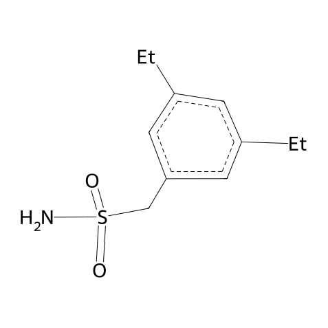 CCc1cc(CC)cc(CS(N)(=O)=O)c1